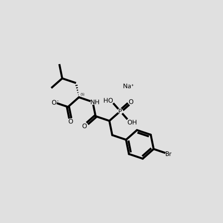 CC(C)C[C@H](NC(=O)C(Cc1ccc(Br)cc1)P(=O)(O)O)C(=O)[O-].[Na+]